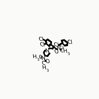 CC(=O)N(C)C1CCN(CCC(C)(C(=O)N(C)Cc2ccc(Cl)cc2)c2ccc(Cl)c(Cl)c2)CC1